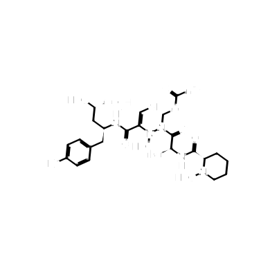 CCCC(=O)OCN(C(=O)[C@@H](NC(=O)[C@H]1CCCCN1C)C(C)CC)N(C)/C(=C\S)C(=O)N[C@@H](Cc1ccc(O)cc1)C[C@H](C)C(=O)O